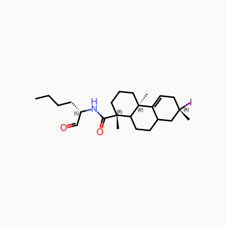 CCCC[C@@H](C=O)NC(=O)[C@]1(C)CCC[C@@]2(C)C3=CC[C@](C)(I)CC3CCC12